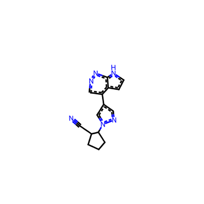 N#CC1CCCC1n1cc(-c2cnnc3[nH]ccc23)cn1